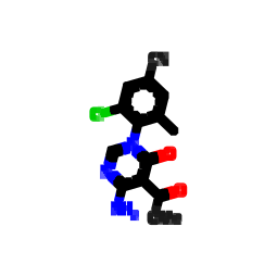 COC(=O)c1c(N)ncn(-c2c(C)cc(C#N)cc2Cl)c1=O